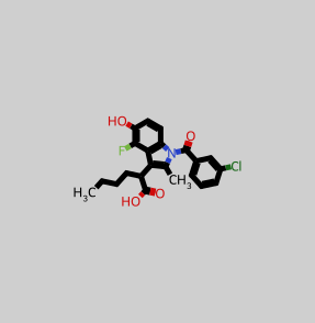 CCCCC(C(=O)O)c1c(C)n(C(=O)c2cccc(Cl)c2)c2ccc(O)c(F)c12